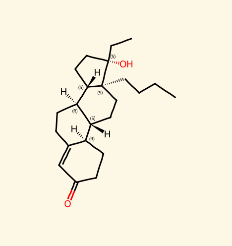 CCCC[C@]12CC[C@H]3[C@@H](CCC4=CC(=O)CC[C@@H]43)[C@@H]1CC[C@@]2(O)CC